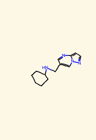 c1cc2ncc(CNC3CCCCC3)cn2n1